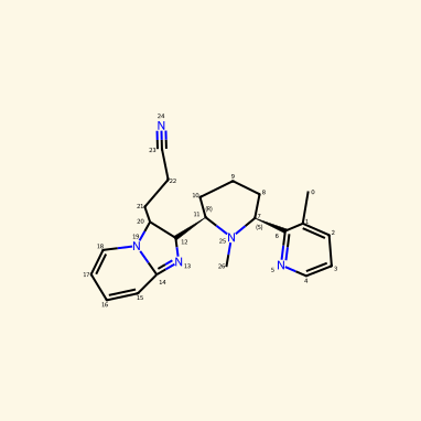 Cc1cccnc1[C@@H]1CCC[C@H](C2N=C3C=CC=CN3C2CCC#N)N1C